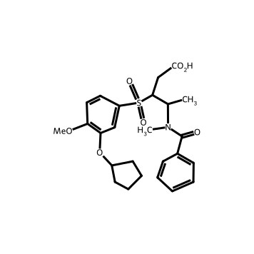 COc1ccc(S(=O)(=O)C(CC(=O)O)C(C)N(C)C(=O)c2ccccc2)cc1OC1CCCC1